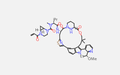 C=CC(=O)N1CCN(C(=O)N(C)[C@H](C(=O)N[C@H]2Cc3nc(cs3)-c3ccc4c(c3)c(c(-c3cccnc3[C@H](C)OC)n4CC)CC(C)(C)COC(=O)[C@@H]3CCCN(N3)C2=O)C(C)C)[C@@H]2C[C@@H]21